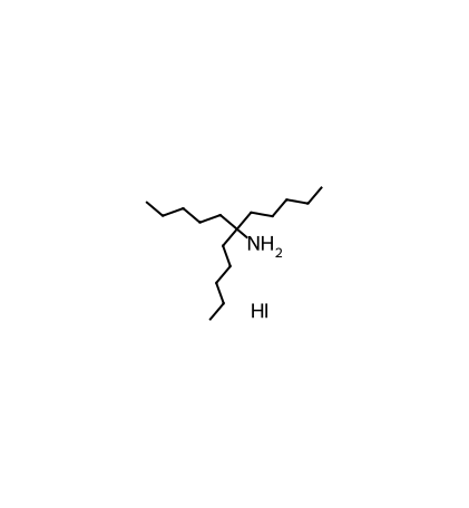 CCCCCC(N)(CCCCC)CCCCC.I